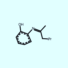 CC(CC(C)C)=Nc1ccccc1O